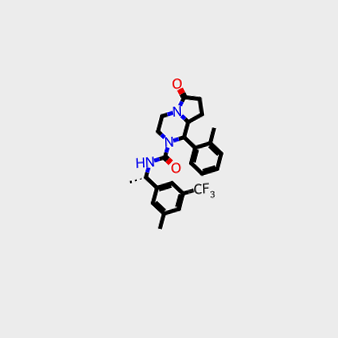 Cc1cc([C@H](C)NC(=O)N2CCN3C(=O)CCC3C2c2ccccc2C)cc(C(F)(F)F)c1